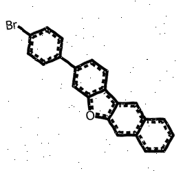 Brc1ccc(-c2ccc3c(c2)oc2cc4ccccc4cc23)cc1